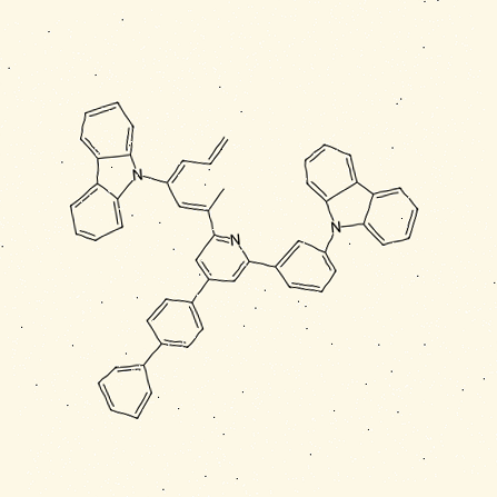 C=C/C=C(\C=C(/C)c1cc(-c2ccc(-c3ccccc3)cc2)cc(-c2cccc(-n3c4ccccc4c4ccccc43)c2)n1)n1c2ccccc2c2ccccc21